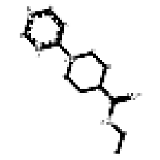 CCOC(=O)C1CCN(c2ccncn2)CC1